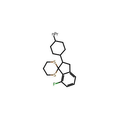 CCCC1CCC(C2Cc3cccc(F)c3C23SCCCS3)CC1